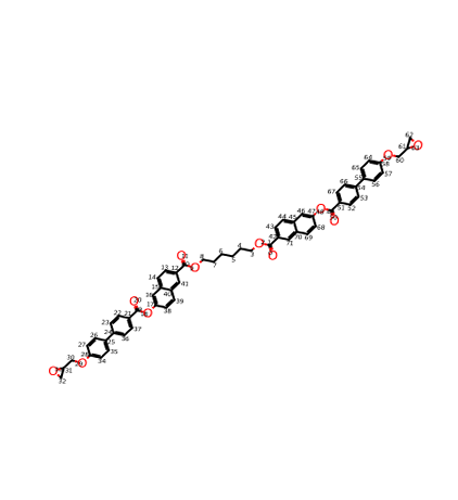 O=C(OCCCCCCOC(=O)c1ccc2cc(OC(=O)c3ccc(-c4ccc(OCC5CO5)cc4)cc3)ccc2c1)c1ccc2cc(OC(=O)c3ccc(-c4ccc(OCC5CO5)cc4)cc3)ccc2c1